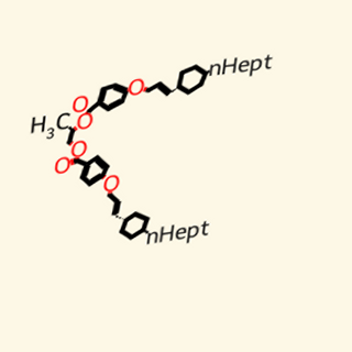 CCCCCCC[C@H]1CC[C@H](/C=C/COc2ccc(C(=O)OC[C@@H](C)OC(=O)c3ccc(OC/C=C/[C@H]4CC[C@H](CCCCCCC)CC4)cc3)cc2)CC1